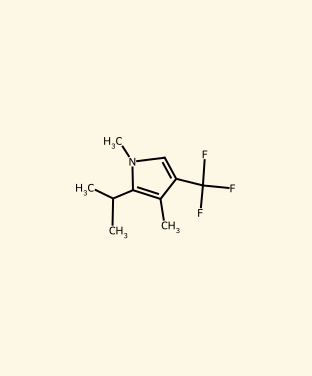 Cc1c(C(F)(F)F)cn(C)c1C(C)C